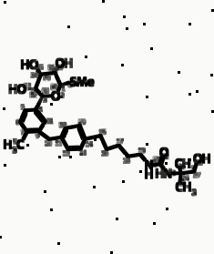 CS[C@H]1O[C@@H](c2ccc(C)c(Cc3ccc(CCCCCNC(=O)NC(C)(C)CO)cc3)c2)[C@H](O)[C@@H](O)[C@@H]1O